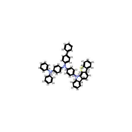 c1ccc(-c2ccc(N(c3ccc(N(c4ccccc4)c4ccccc4)cc3)c3ccc(-n4c5ccccc5c5ccc6c7ccccc7sc6c54)cc3)cc2)cc1